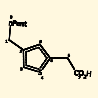 CCCCCCc1csc(CC(=O)O)c1